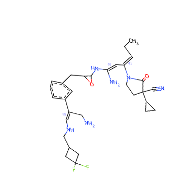 CC/C=C(\C=C(/N)NC1OC1Cc1cccc(/C(=C/NCC2CC(F)(F)C2)CN)c1)N1CCC(C#N)(C2CC2)C1=O